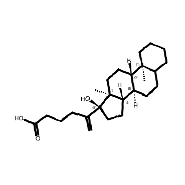 C=C(CCCC(=O)O)[C@@]1(O)CC[C@H]2[C@@H]3CCC4CCCC[C@]4(C)[C@H]3CC[C@@]21C